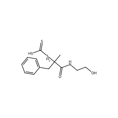 CC(Cc1ccccc1)([SH2]C(=S)S)C(=O)NCCO